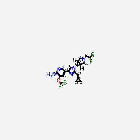 Nc1ncc(-c2cn([C@H]3[C@@H]4CN(CC(F)F)C[C@@H]43)c(CC3CC3)n2)cc1OC(F)F